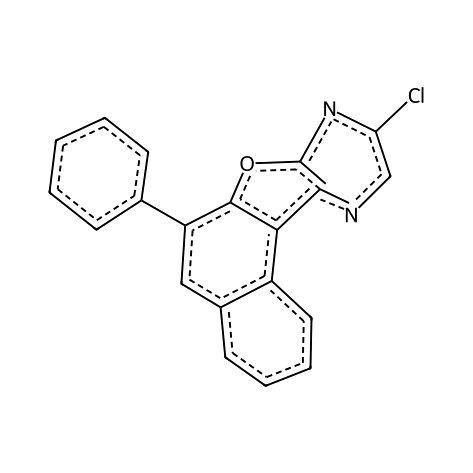 Clc1cnc2c(n1)oc1c(-c3ccccc3)cc3ccccc3c12